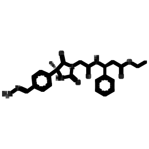 CCOC(=O)C[C@H](NC(=O)CN1C(=O)N[C@@](C)(c2ccc(C=NN)cc2)C1=O)c1ccccc1